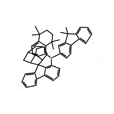 CC1(C)CCC(C)(C)c2c(N(c3ccc4c(c3)C(C)(C)c3ccccc3-4)c3cccc4c3C3(c5ccccc5-4)C4CC5CC6CC3C64C5)cccc21